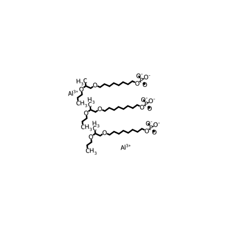 CCCOC(C)COCCCCCCCCOP(=O)([O-])[O-].CCCOC(C)COCCCCCCCCOP(=O)([O-])[O-].CCCOC(C)COCCCCCCCCOP(=O)([O-])[O-].[Al+3].[Al+3]